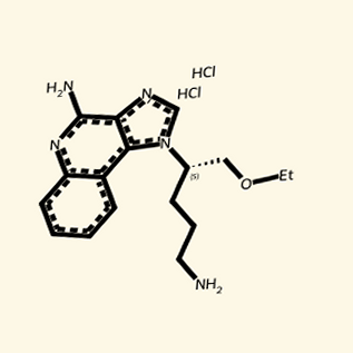 CCOC[C@H](CCCN)n1cnc2c(N)nc3ccccc3c21.Cl.Cl